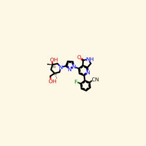 C[C@@]1(O)CN(c2ccn(-c3cc(-c4c(F)cccc4C#N)nc4c3C(=O)NC4)n2)C[C@@](C)(CO)C1